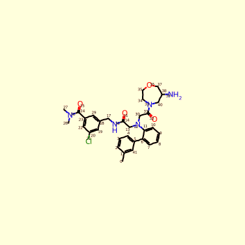 Cc1cccc(-c2ccccc2N(CC(=O)NCc2cc(Cl)cc(C(=O)N(C)C)c2)CC(=O)N2CCOCC(N)C2)c1